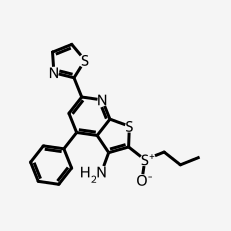 CCC[S+]([O-])c1sc2nc(-c3nccs3)cc(-c3ccccc3)c2c1N